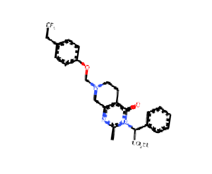 CCOC(=O)C(c1ccccc1)n1c(C)nc2c(c1=O)CCN(COc1ccc(CC(F)(F)F)cc1)C2